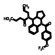 C=CCN(C(=O)CCC(=O)O)C1c2ccccc2N(C(=O)c2ccc(OC(F)(F)F)cc2)C2CCCC12